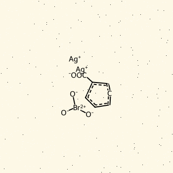 O=C([O-])c1ccccc1.[Ag+].[Ag+].[O-][Br+2]([O-])[O-]